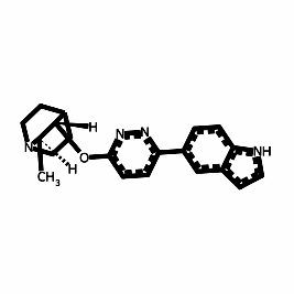 C[C@@H]1[C@@H](Oc2ccc(-c3ccc4[nH]ccc4c3)nn2)C2CCN1CC2